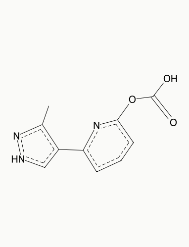 Cc1n[nH]cc1-c1cccc(OC(=O)O)n1